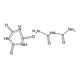 NC(=O)NC(N)=O.O=c1[nH]c(=O)[nH]c(=O)[nH]1